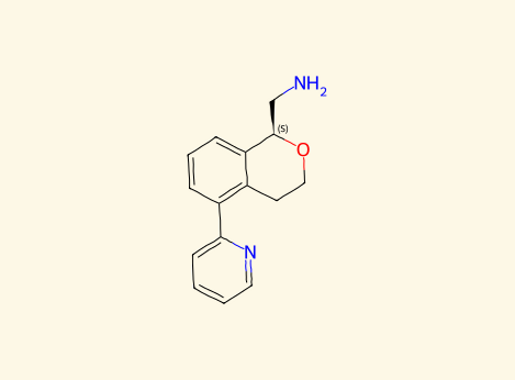 NC[C@H]1OCCc2c(-c3ccccn3)cccc21